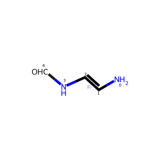 N/C=C/NC=O